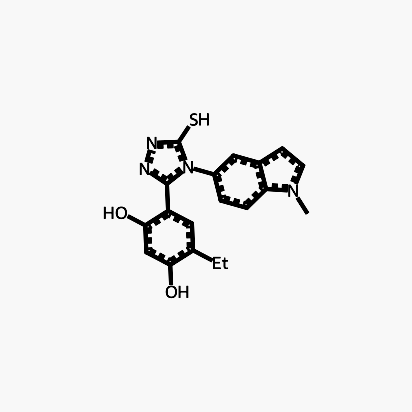 CCc1cc(-c2nnc(S)n2-c2ccc3c(ccn3C)c2)c(O)cc1O